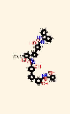 COc1ccc(-c2cccc(-c3ccc(C(=O)NC(=N)c4ccccc4-c4ccccc4)c(O)c3)c2)c(-c2nnc(-c3ccc(-c4cccc(-c5ccc(O)c(-c6nnc(-c7ccccc7O)o6)c5)c4)cc3O)o2)c1O